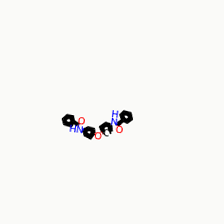 O=C(Nc1ccc(Oc2ccc(NC(=O)c3ccccc3)cc2)cc1)c1ccccc1